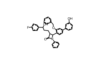 O=C1C(CCC(O)c2ccc(F)cc2)C(c2ccc(-c3cccc(O)c3)cc2OCc2ccccc2)N1c1ccccc1